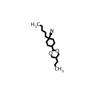 CCCCCC1(C#N)CCC(C2OCC(CCC)CO2)CC1